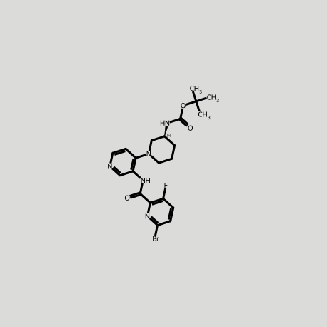 CC(C)(C)OC(=O)N[C@H]1CCCN(c2ccncc2NC(=O)c2nc(Br)ccc2F)C1